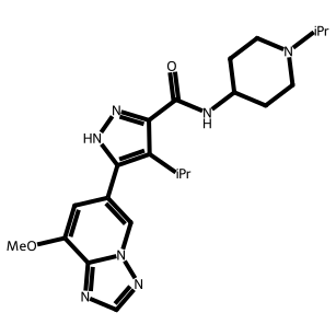 COc1cc(-c2[nH]nc(C(=O)NC3CCN(C(C)C)CC3)c2C(C)C)cn2ncnc12